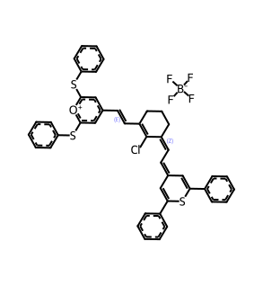 ClC1=C(/C=C/c2cc(Sc3ccccc3)[o+]c(Sc3ccccc3)c2)CCC/C1=C/C=C1C=C(c2ccccc2)SC(c2ccccc2)=C1.F[B-](F)(F)F